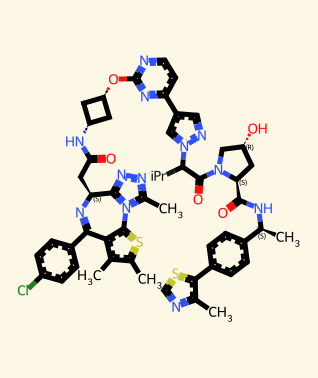 Cc1ncsc1-c1ccc([C@H](C)NC(=O)[C@@H]2C[C@@H](O)CN2C(=O)C(C(C)C)n2cc(-c3ccnc(O[C@H]4C[C@@H](NC(=O)C[C@@H]5N=C(c6ccc(Cl)cc6)c6c(sc(C)c6C)-n6c(C)nnc65)C4)n3)cn2)cc1